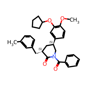 COc1ccc([C@@H]2C[C@@H](Cc3cccc(C)c3)C(=O)N(C(=O)c3ccccc3)C2)cc1OC1CCCC1